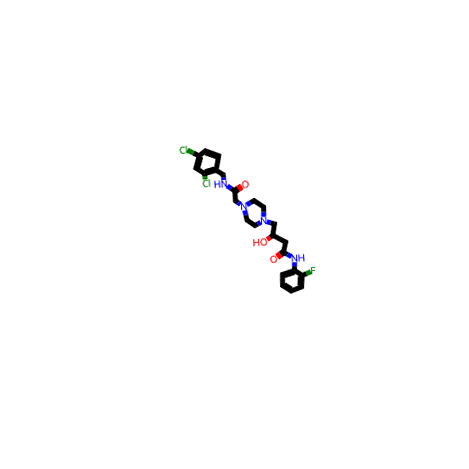 O=C(CN1CCN(CC(O)CC(=O)Nc2ccccc2F)CC1)NCc1ccc(Cl)cc1Cl